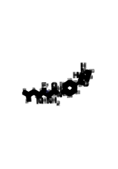 CC(C)CC(=N)/C(F)=C(\N)C(=O)Nc1ccc([C@@H]2OC3CN[C@H]32)cc1